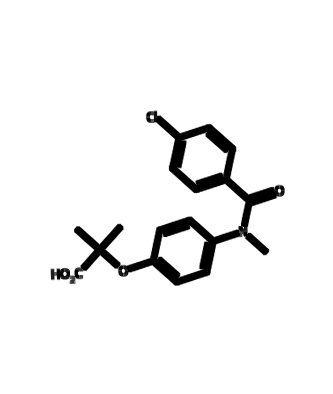 CN(C(=O)c1ccc(Cl)cc1)c1ccc(OC(C)(C)C(=O)O)cc1